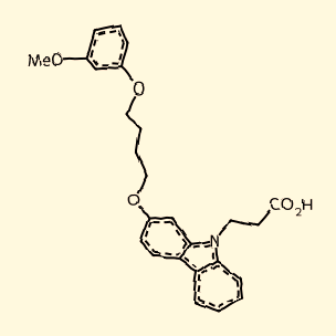 COc1cccc(OCCCCOc2ccc3c4ccccc4n(CCC(=O)O)c3c2)c1